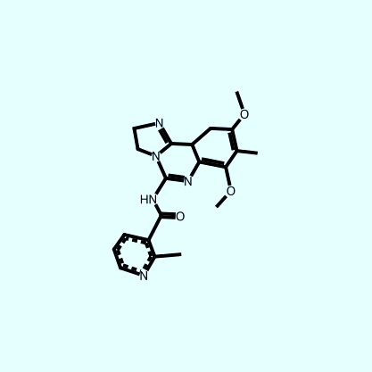 COC1=C(C)C(OC)=C2N=C(NC(=O)c3cccnc3C)N3CCN=C3C2C1